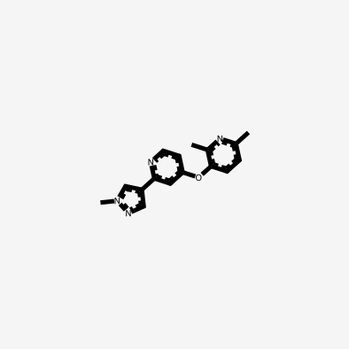 Cc1ccc(Oc2ccnc(-c3cnn(C)c3)c2)c(C)n1